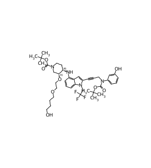 CC(C)(C)OC(=O)N1CC[C@@H](Nc2cccc3c2cc(C#CCN(C(=O)OC(C)(C)C)c2cccc(O)c2)n3CC(F)(F)F)[C@@H](OCCOCCCCO)C1